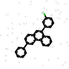 Clc1cccc(-c2cc3ccc(-c4ccccc4)cc3c3ccccc23)c1